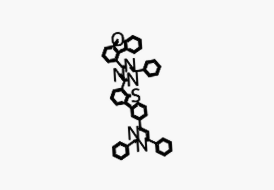 c1ccc(-c2cc(-c3ccc4sc5c(-c6nc(-c7ccccc7)nc(-c7cccc8oc9ccccc9c78)n6)cccc5c4c3)nc(-c3ccccc3)n2)cc1